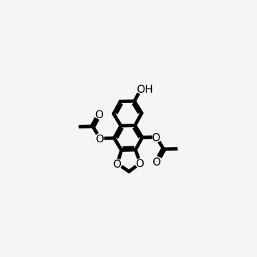 CC(=O)Oc1c2c(c(OC(C)=O)c3cc(O)ccc13)OCO2